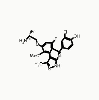 COc1c(OC[C@H](N)C(C)C)cc(F)c2c(-c3ccc(O)c(Cl)c3)nc3[nH]nc(C)c3c12